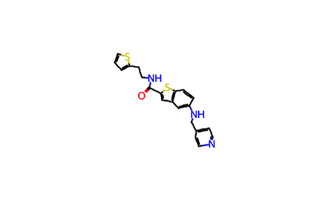 O=C(NCCc1cccs1)c1cc2cc(NCc3ccncc3)ccc2s1